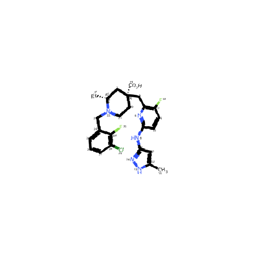 CC[C@@H]1C[C@](Cc2nc(Nc3cc(C)[nH]n3)ccc2F)(C(=O)O)CCN1Cc1cccc(Cl)c1F